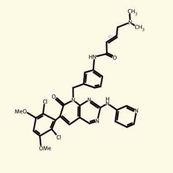 COc1cc(OC)c(Cl)c(-c2cc3cnc(Nc4cccnc4)nc3n(Cc3cccc(NC(=O)/C=C/CN(C)C)c3)c2=O)c1Cl